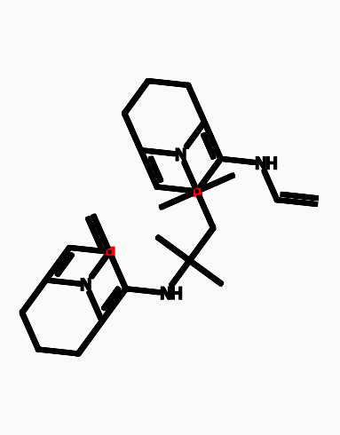 C=CNC1=C2CCCC(=CC1)N2C(C)(C)CC(C)(C)NC1=C2CCCC(=CC1)N2C=C